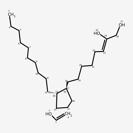 C=CO.CCCCCCCCCC[C@H]1CCC[C@@H]1CCCCCC=C(O)CO